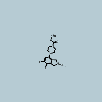 CN1Cc2c(N3CCN(C(=O)OC(C)(C)C)CC3)cc(F)c(I)c2C1